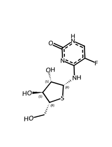 O=c1nc(N[C@@H]2S[C@H](CO)[C@@H](O)[C@@H]2O)c(F)c[nH]1